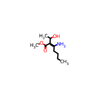 CCCCC(N)=C(C(=O)OC)C(C)O